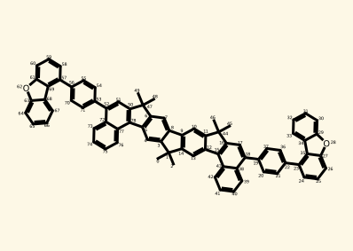 CC1(C)c2cc3c(cc2-c2cc4c(cc21)-c1c(cc(-c2ccc(-c5cccc6oc7ccccc7c56)cc2)c2ccccc12)C4(C)C)C(C)(C)c1cc(-c2ccc(-c4cccc5oc6ccccc6c45)cc2)c2ccccc2c1-3